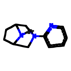 CC(C)N1C2CCC1CN(c1ccccn1)C2